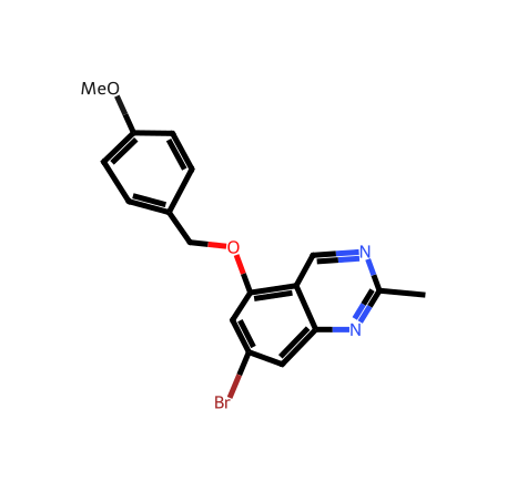 COc1ccc(COc2cc(Br)cc3nc(C)ncc23)cc1